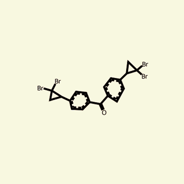 O=C(c1ccc(C2CC2(Br)Br)cc1)c1ccc(C2CC2(Br)Br)cc1